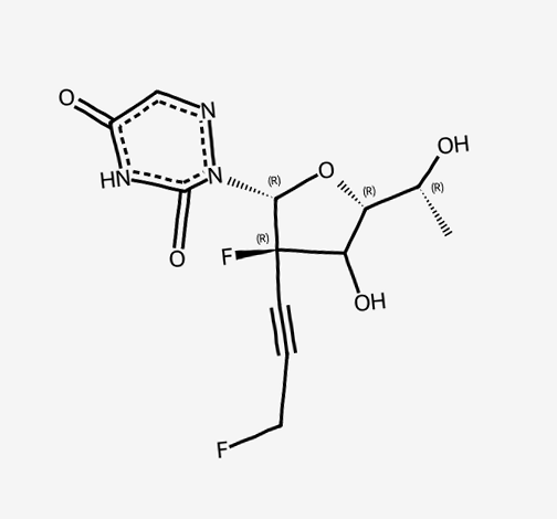 C[C@@H](O)[C@H]1O[C@@H](n2ncc(=O)[nH]c2=O)[C@@](F)(C#CCF)C1O